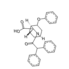 O=C(O)[C@@H]1[C@H]2CC[C@H](CC2Oc2ccccc2)N1C(=O)C(c1ccccc1)c1ccccc1